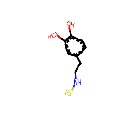 Oc1ccc(CCNS)cc1O